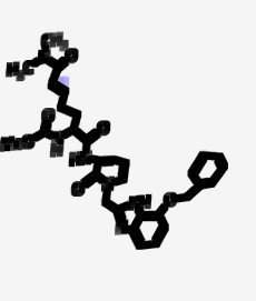 COC(=O)NC(CC/C=C/C(=O)N(C)C)C(=O)Nc1cccn(Cc2nc3cccc(OCc4ccccc4)c3[nH]2)c1=O